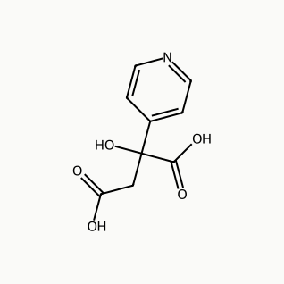 O=C(O)CC(O)(C(=O)O)c1ccncc1